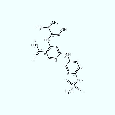 CC(C)[C@@H](CO)Nc1nc(Nc2ccc(OS(C)(=O)=O)cc2)ncc1C(N)=O